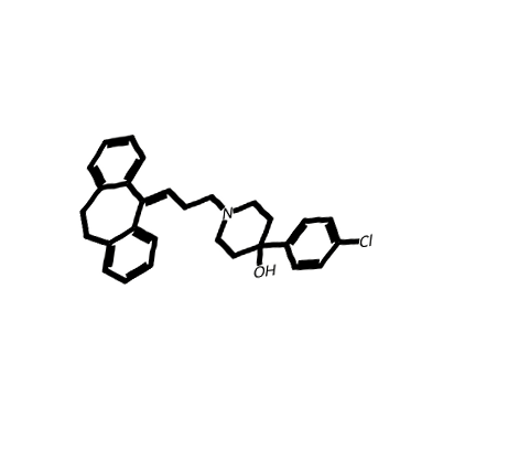 OC1(c2ccc(Cl)cc2)CCN(CCC=C2c3ccccc3CCc3ccccc32)CC1